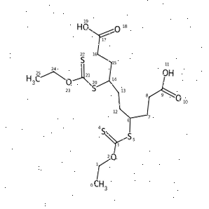 CCOC(=S)SC(CCC(=O)O)CCC(CCC(=O)O)SC(=S)OCC